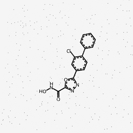 O=C(NO)c1nnc(-c2ccc(-c3ccccc3)c(Cl)c2)o1